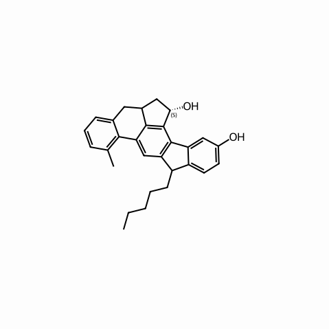 CCCCCC1c2ccc(O)cc2-c2c1cc1c3c2[C@@H](O)CC3Cc2cccc(C)c2-1